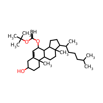 B=C(OC1C=C2CC(O)CCC2(C)C2CCC3(C)C(C(C)CCCC(C)C)CCC3C12)OC(C)(C)C